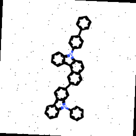 c1ccc(-c2ccc(-n3c4ccccc4c4c5cc(-c6ccc7c8ccccc8n(-c8ccccc8)c7c6)ccc5ccc43)cc2)cc1